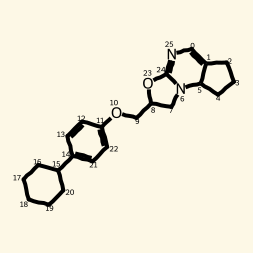 C1=C2CCCC2N2CC(COc3ccc(C4CCCCC4)cc3)OC2=N1